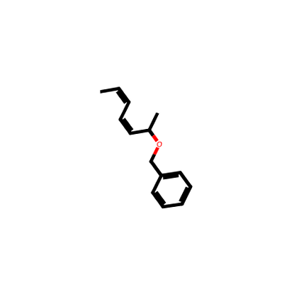 C/C=C\C=C/C(C)OCc1ccccc1